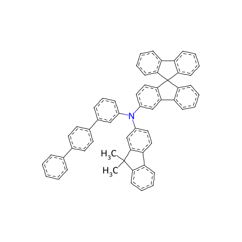 CC1(C)c2ccccc2-c2ccc(N(c3cccc(-c4ccc(-c5ccccc5)cc4)c3)c3ccc4c(c3)-c3ccccc3C43c4ccccc4-c4ccccc43)cc21